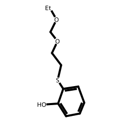 CCOCOCCSc1ccccc1O